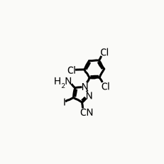 N#Cc1nn(-c2c(Cl)cc(Cl)cc2Cl)c(N)c1I